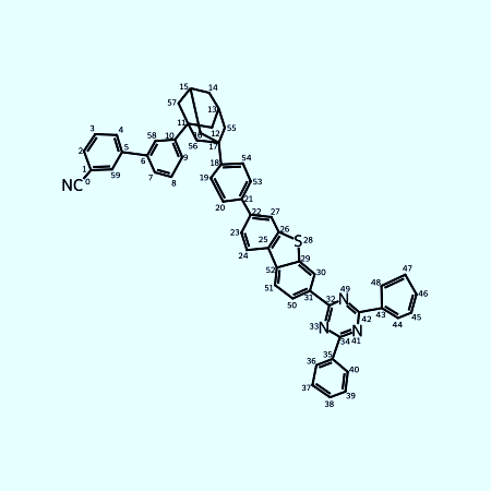 N#Cc1cccc(-c2cccc(C34CC5CC(CC(c6ccc(-c7ccc8c(c7)sc7cc(-c9nc(-c%10ccccc%10)nc(-c%10ccccc%10)n9)ccc78)cc6)(C5)C3)C4)c2)c1